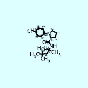 CC(C)(C)CC(C)(C)NC(=O)[C@@H]1CCCN1c1ccc(Cl)cc1